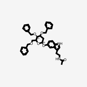 CC(=O)NCCc1c[nH]c2ccc(O[C@@H]3CC(OCc4ccccc4)[C@H](OCc4ccccc4)C(COCc4ccccc4)O3)cc12